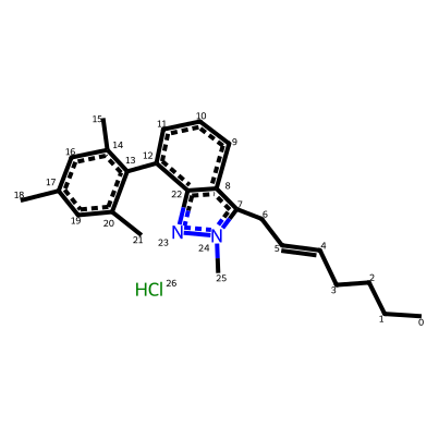 CCCCC=CCc1c2cccc(-c3c(C)cc(C)cc3C)c2nn1C.Cl